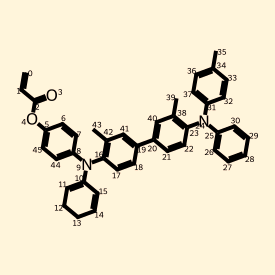 C=CC(=O)Oc1ccc(N(C2=CCCC=C2)c2ccc(-c3ccc(N(c4ccccc4)c4ccc(C)cc4)c(C)c3)cc2C)cc1